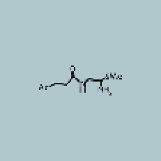 CSC(N)CNC(=O)CCC(C)=O